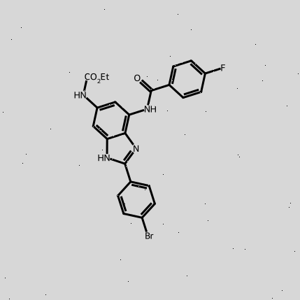 CCOC(=O)Nc1cc(NC(=O)c2ccc(F)cc2)c2nc(-c3ccc(Br)cc3)[nH]c2c1